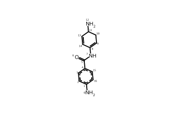 Nc1ccc(C(=O)NC2=CCC(N)C=C2)cc1